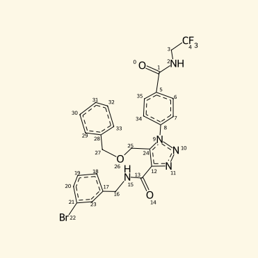 O=C(NCC(F)(F)F)c1ccc(-n2nnc(C(=O)NCc3cccc(Br)c3)c2COCc2ccccc2)cc1